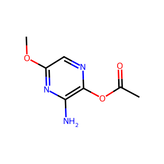 COc1cnc(OC(C)=O)c(N)n1